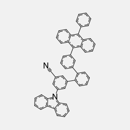 N#Cc1cc(-c2ccccc2-c2cccc(-c3c4ccccc4c(-c4ccccc4)c4ccccc34)c2)cc(-n2c3ccccc3c3ccccc32)c1